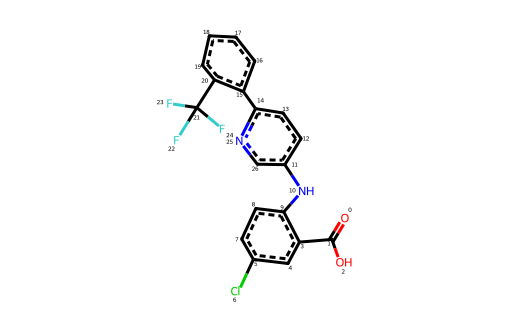 O=C(O)c1cc(Cl)ccc1Nc1ccc(-c2ccccc2C(F)(F)F)nc1